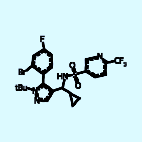 CC(C)(C)n1ncc(C(NS(=O)(=O)c2ccc(C(F)(F)F)nc2)C2CC2)c1-c1ccc(F)cc1Br